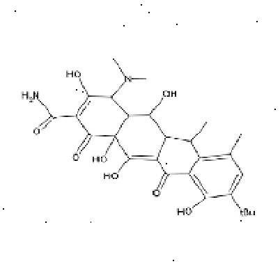 Cc1cc(C(C)(C)C)c(O)c2c1C(C)C1C(=C(O)C3(O)C(=O)C(C(N)=O)=C(O)C(N(C)C)C3C1O)C2=O